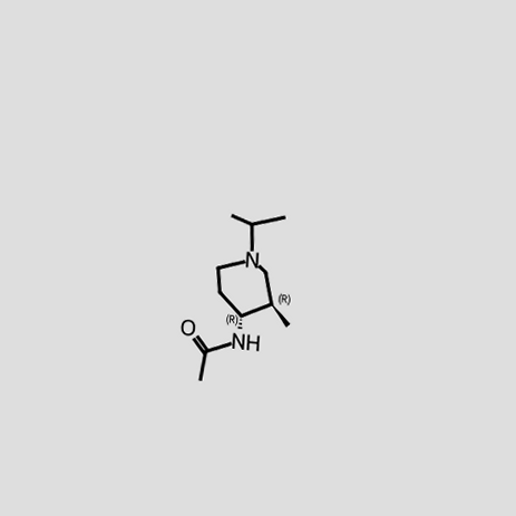 CC(=O)N[C@@H]1CCN(C(C)C)C[C@H]1C